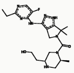 CCc1ncc(F)c(Nc2n[nH]c3c2CN(C(=O)N2CC(CCO)NC[C@@H]2C)C3(C)C)n1